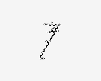 CCN(CCNCC=O)CC(=O)NC(CCCCNC(=O)CCOCCOCCC=O)C(N)=O